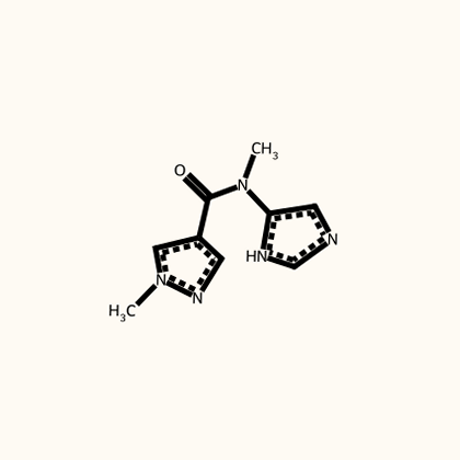 CN(C(=O)c1cnn(C)c1)c1cnc[nH]1